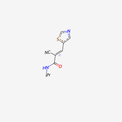 CC(C)NC(=O)/C(C#N)=C/c1cncs1